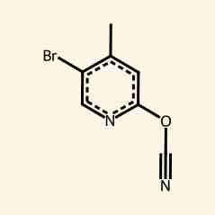 Cc1cc(OC#N)ncc1Br